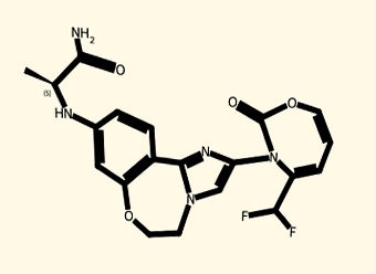 C[C@H](Nc1ccc2c(c1)OCCn1cc(N3C(=O)OC=CC=C3C(F)F)nc1-2)C(N)=O